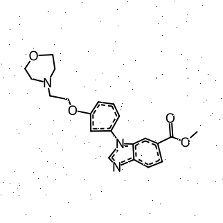 COC(=O)c1ccc2ncn(-c3cccc(OCCN4CCOCC4)c3)c2c1